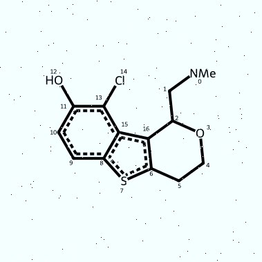 CNCC1OCCc2sc3ccc(O)c(Cl)c3c21